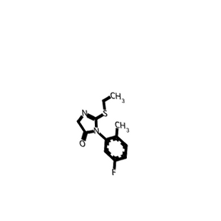 CCSC1=NCC(=O)N1c1cc(F)ccc1C